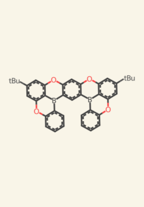 CC(C)(C)c1cc2c3c(c1)Oc1cc4c(cc1B3c1ccccc1O2)B1c2ccccc2Oc2cc(C(C)(C)C)cc(c21)O4